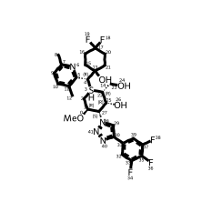 CO[C@H]1C[SH]([C@H](c2nc(C)ccc2C)C2(O)CCC(F)(F)CC2)[C@H](CO)[C@H](O)[C@@H]1n1cc(-c2cc(F)c(F)c(F)c2)nn1